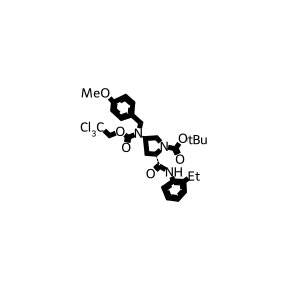 CCc1ccccc1NC(=O)[C@@H]1C[C@H](N(Cc2ccc(OC)cc2)C(=O)OCC(Cl)(Cl)Cl)CN1C(=O)OC(C)(C)C